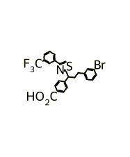 O=C(O)c1ccc(C(CCc2cccc(Br)c2)c2nc(-c3cccc(C(F)(F)F)c3)cs2)cc1